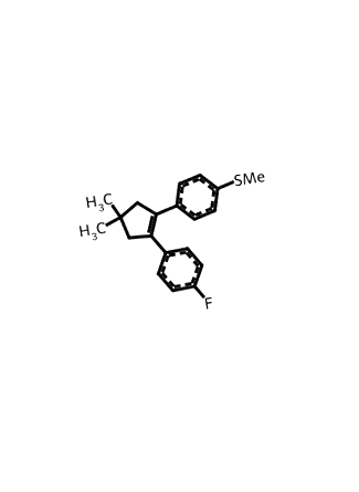 CSc1ccc(C2=C(c3ccc(F)cc3)CC(C)(C)C2)cc1